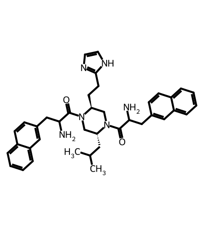 CC(C)C[C@@H]1CN(C(=O)C(N)Cc2ccc3ccccc3c2)[C@@H](CCc2ncc[nH]2)CN1C(=O)C(N)Cc1ccc2ccccc2c1